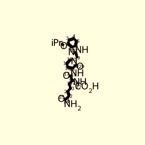 CC(C)Oc1cccc2[nH]c(Cn3cccc(NC(=O)C(CCC=CC(N)=O)NC(=O)O)c3=O)nc12